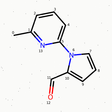 Cc1cccc(-n2cccc2C=O)n1